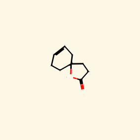 O=C1CCC2(CC=CCC2)O1